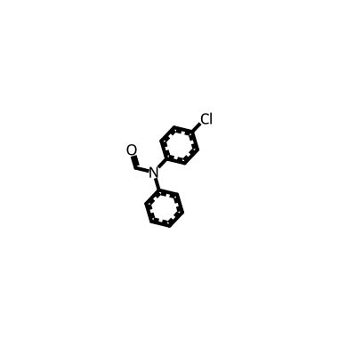 O=CN(c1ccccc1)c1ccc(Cl)cc1